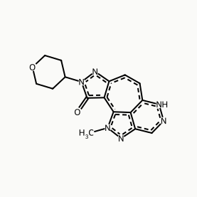 Cn1nc2cn[nH]c3ccc4nn(C5CCOCC5)c(=O)c4c1c23